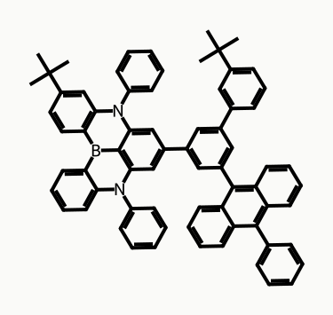 CC(C)(C)c1cccc(-c2cc(-c3cc4c5c(c3)N(c3ccccc3)c3cc(C(C)(C)C)ccc3B5c3ccccc3N4c3ccccc3)cc(-c3c4ccccc4c(-c4ccccc4)c4ccccc34)c2)c1